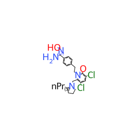 CCC[C@H]1CCCN1Cc1c(Cl)cc(Cl)c(=O)n1CCc1ccc(/C(N)=N/O)cc1